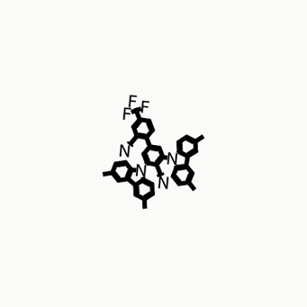 Cc1ccc2c(c1)c1cc(C)ccc1n2-c1cc(-c2ccc(C(F)(F)F)cc2C#N)cc(-n2c3ccc(C)cc3c3cc(C)ccc32)c1C#N